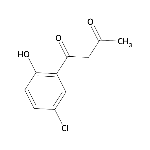 CC(=O)CC(=O)c1cc(Cl)ccc1O